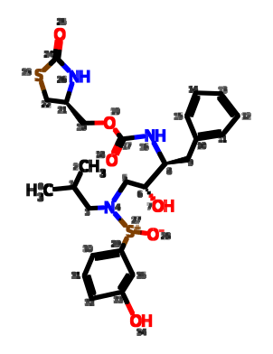 CC(C)CN(C[C@@H](O)[C@H](Cc1ccccc1)NC(=O)OC[C@H]1CSC(=O)N1)[S+]([O-])c1cccc(O)c1